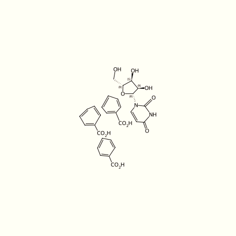 O=C(O)c1ccccc1.O=C(O)c1ccccc1.O=C(O)c1ccccc1.O=c1ccn([C@@H]2O[C@H](CO)[C@@H](O)[C@H]2O)c(=O)[nH]1